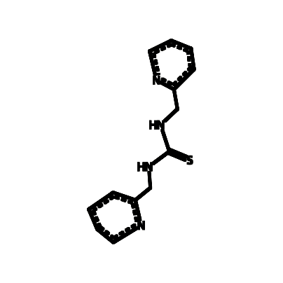 S=C(NCc1ccccn1)NCc1ccccn1